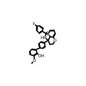 COc1cccc(-c2ccc(C3(NC(=O)c4ccc(F)cc4)CCOc4cccnc43)cc2)c1O